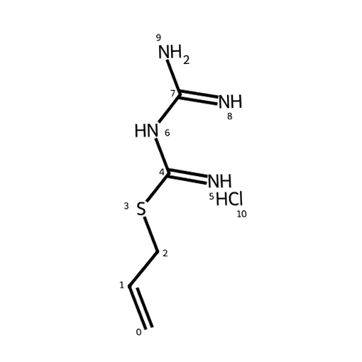 C=CCSC(=N)NC(=N)N.Cl